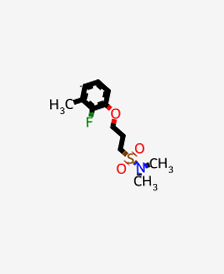 Cc1[c]ccc(OCCCS(=O)(=O)N(C)C)c1F